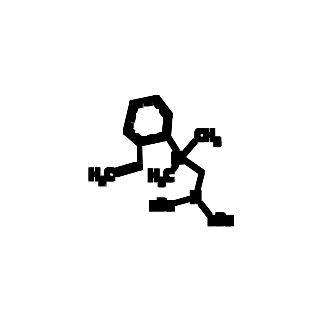 C=Cc1ccccc1[Si](C)(C)CN(CCCC)CCCC